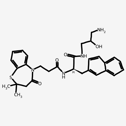 CC1(C)CC(=O)N(CCC(=O)N[C@H](Cc2ccc3ccccc3c2)C(=O)NCC(O)CN)c2ccccc2S1